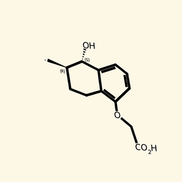 [CH2][C@@H]1CCc2c(OCC(=O)O)cccc2[C@H]1O